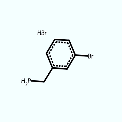 Br.PCc1cccc(Br)c1